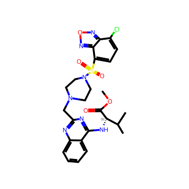 COC(=O)[C@@H](Nc1nc(CN2CCN(S(=O)(=O)c3ccc(Cl)c4nonc34)CC2)nc2ccccc12)C(C)C